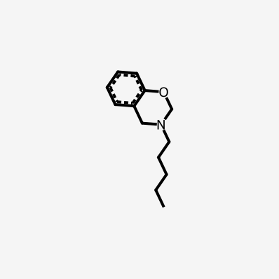 CCCCCN1COc2ccccc2C1